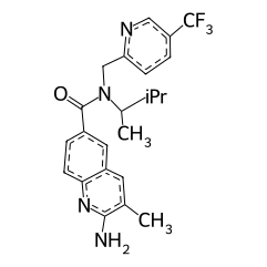 Cc1cc2cc(C(=O)N(Cc3ccc(C(F)(F)F)cn3)C(C)C(C)C)ccc2nc1N